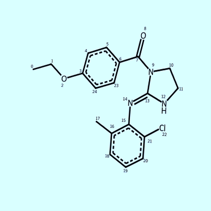 CCOc1ccc(C(=O)N2CCNC2=Nc2c(C)cccc2Cl)cc1